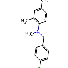 Cc1ccc(N(C)Cc2ccc(F)cc2)c(C)c1